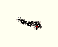 OC(Cn1cncn1)(Cn1cc2cc(NCc3ccc(OC(F)(F)F)cc3)ccc2n1)c1ccc(F)cc1F